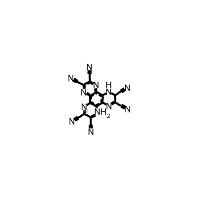 C=C(C#N)/C(C#N)=N\c1c(N)c2c(c3nc(C#N)c(C#N)nc13)NC(C#N)C(C#N)=N2